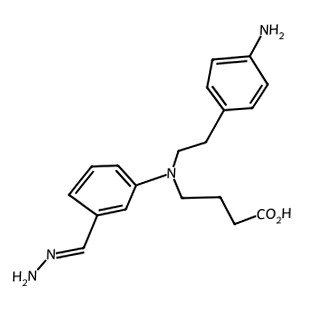 NN=Cc1cccc(N(CCCC(=O)O)CCc2ccc(N)cc2)c1